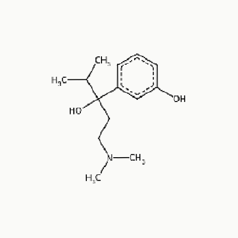 CC(C)C(O)(CCN(C)C)c1cccc(O)c1